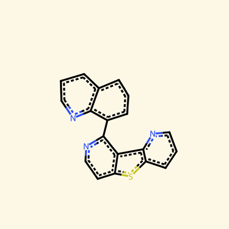 c1cnc2c(-c3nccc4sc5cccnc5c34)cccc2c1